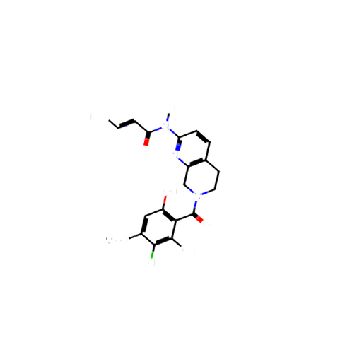 C/C=C/C(=O)N(C)c1ccc2c(n1)CN(C(=O)c1c(O)cc(OC)c(Cl)c1C)CC2